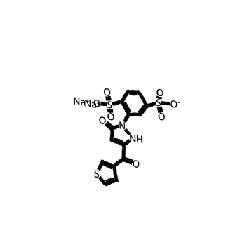 O=C(c1ccsc1)c1cc(=O)n(-c2cc(S(=O)(=O)[O-])ccc2S(=O)(=O)[O-])[nH]1.[Na+].[Na+]